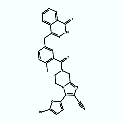 N#Cc1nc2n(c1-c1ccc(Br)o1)CCN(C(=O)c1cc(Cc3n[nH]c(=O)c4ccccc34)ccc1F)C2